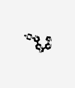 CN1CCN(c2cc(-c3ccc4ncc(-c5ccnc(-n6cccn6)c5)n4c3)ccn2)CC1